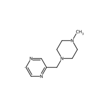 CN1CCN(Cc2cn[c]cn2)CC1